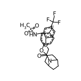 CS(=O)(=O)Nc1cc(C(F)(F)F)ccc1OCC(=O)N1C2CCC1CC(Oc1ccc(F)cc1)C2